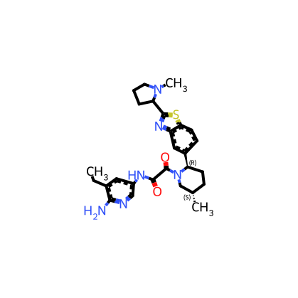 CCc1cc(NC(=O)C(=O)N2C[C@@H](C)CC[C@@H]2c2ccc3sc(C4CCCN4C)nc3c2)cnc1N